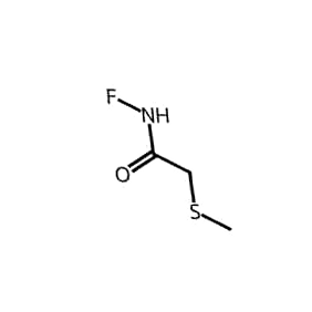 CSCC(=O)NF